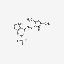 Cc1cc(C)c(/C=N/c2cc(C(F)(F)F)cc3cc[nH]c23)[nH]1